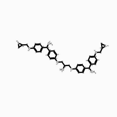 CC(c1ccc(OCC(O)COc2ccc(C(C)c3ccc(OCC4CS4)cc3)cc2)cc1)c1ccc(OCC2CS2)cc1